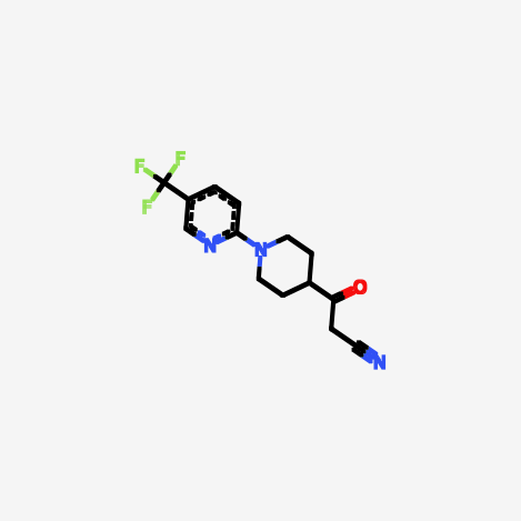 N#CCC(=O)C1CCN(c2ccc(C(F)(F)F)cn2)CC1